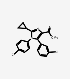 COC(=O)c1nc(C2CC2)n(-c2ccc(Cl)cc2)c1-c1cccc(Cl)c1